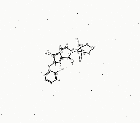 O=c1c2nn(Cc3ccccc3F)c(O)c2nnn1[C@@H]1[C@@H]2COC[C@@H]21